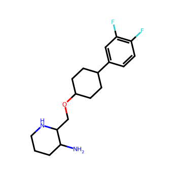 NC1CCCNC1COC1CCC(c2ccc(F)c(F)c2)CC1